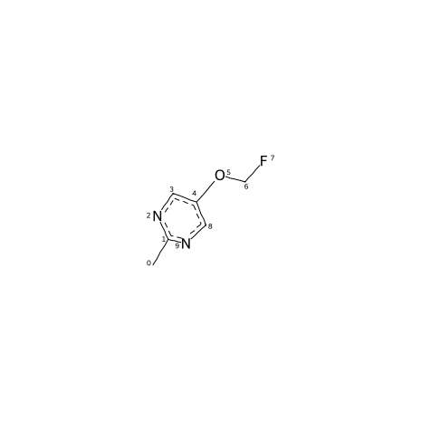 Cc1ncc(OCF)cn1